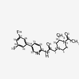 CC(=O)N1CCN(CC(=O)Nc2ccc(-c3cc(F)cc(F)c3)cn2)C[C@@H]1C